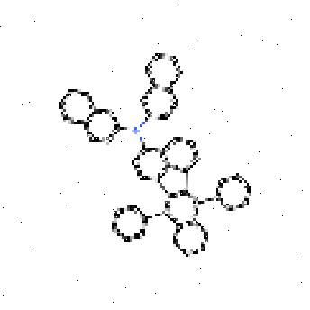 c1ccc(-c2c3c(c(-c4ccccc4)c4ccccc24)-c2ccc(N(c4ccc5ccccc5c4)c4ccc5ccccc5c4)c4cccc-3c24)cc1